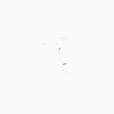 BOC(=O)CC/N=C/C(OC)OC